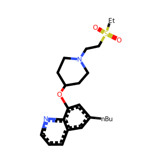 CCCCc1cc(OC2CCN(CCS(=O)(=O)CC)CC2)c2ncccc2c1